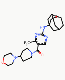 O=C(c1cnc(NC23CCC4CC(CC(C4)C2)C3)nc1C(F)(F)F)N1CCC(N2CCOCC2)CC1